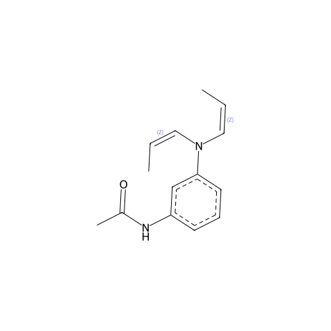 C/C=C\N(/C=C\C)c1cccc(NC(C)=O)c1